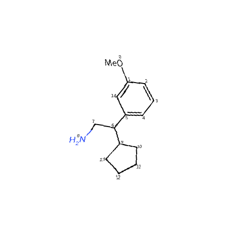 COc1cccc(C(CN)C2CCCC2)c1